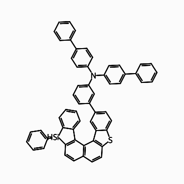 c1ccc(-c2ccc(N(c3ccc(-c4ccccc4)cc3)c3cccc(-c4ccc5sc6ccc7ccc8c(c7c6c5c4)-c4ccccc4[SiH]8c4ccccc4)c3)cc2)cc1